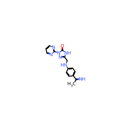 CC(=N)c1ccc(NCc2nn(-c3ncccn3)c(=O)[nH]2)cc1